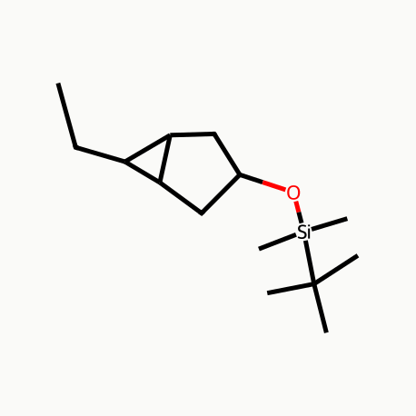 CCC1C2CC(O[Si](C)(C)C(C)(C)C)CC12